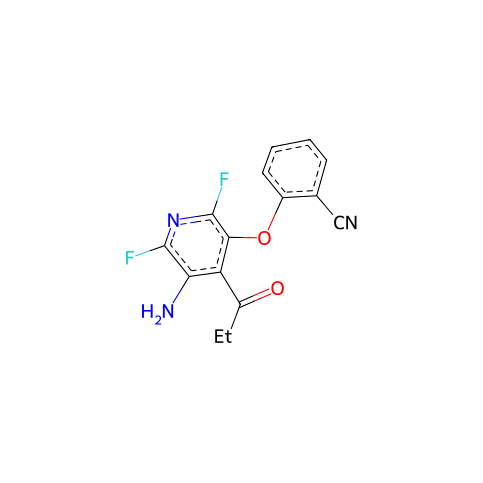 CCC(=O)c1c(N)c(F)nc(F)c1Oc1ccccc1C#N